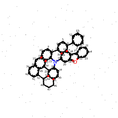 c1ccc(-c2ccc(-c3ccccc3N(c3ccc4c(c3)oc3ccccc34)c3ccccc3-c3cccc4cccc(C5CCCCC5)c34)cc2)cc1